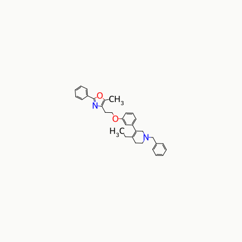 CCC1=C(c2cccc(OCCc3nc(-c4ccccc4)oc3C)c2)CN(Cc2ccccc2)CC1